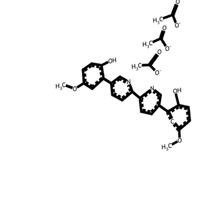 CC(=O)[O-].CC(=O)[O-].CC(=O)[O-].COc1ccc(O)c(-c2ccc(-c3ccc(-c4cc(OC)ccc4O)cn3)nc2)c1.[Mn+3]